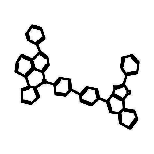 c1ccc(-c2ccc(N(c3ccc(-c4ccc(-c5cc6ccccc6c6oc(-c7ccccc7)nc56)cc4)cc3)c3ccccc3-c3ccccc3)cc2)cc1